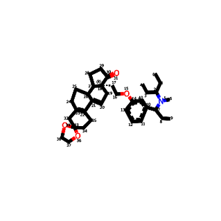 CCC(CC)N(C)C(CC)c1cccc(OCC[C@]23CC=C4C5=C(CCC4C2CCC3=O)CC2(CC5)OCCO2)c1